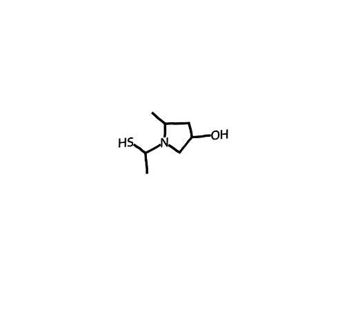 CC(S)N1CC(O)CC1C